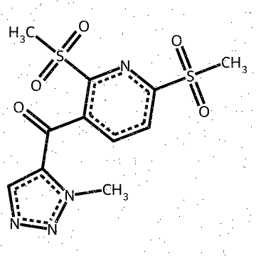 Cn1nncc1C(=O)c1ccc(S(C)(=O)=O)nc1S(C)(=O)=O